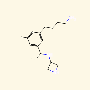 Cc1cc(CCCCN)cc(C(NC2CNC2)C(F)(F)F)c1